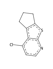 Clc1ccnc2sc3c(c12)CCC3